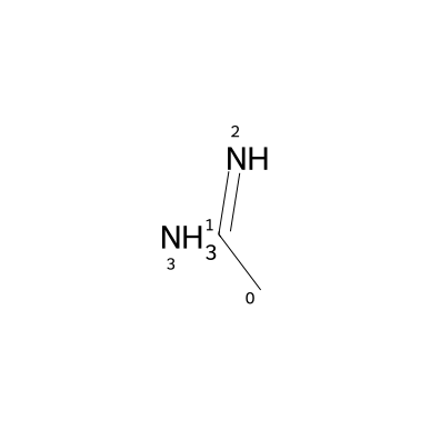 CC=N.N